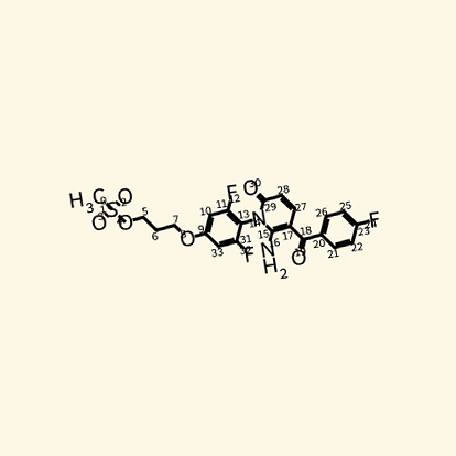 CS(=O)(=O)OCCCOc1cc(F)c(-n2c(N)c(C(=O)c3ccc(F)cc3)ccc2=O)c(F)c1